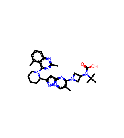 Cc1nc(N2CCCCC2c2cc3nc(N4CC(N(C(=O)O)C(C)(C)C)C4)c(C)cn3n2)c2c(C)cccc2n1